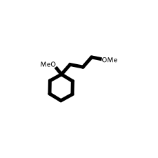 COCCCC1(OC)CCCCC1